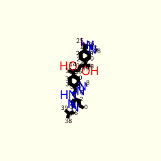 Cc1cc(Nc2nn(C)c3cc(C(C)(O)CCC(C)(O)c4ccc5c(I)nn(C)c5c4)ccc23)nn1CC(C)C